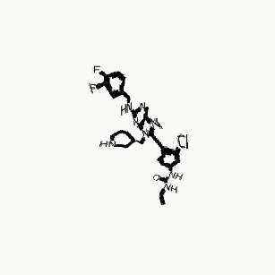 CCNC(=O)Nc1ccc(-c2nc3cnc(NCc4ccc(F)c(F)c4)nc3n2C[C@@H]2CCCNC2)c(Cl)c1